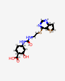 O=C(NCCSc1ncnc2ccsc12)Nc1ccc(C(=O)O)c(O)c1